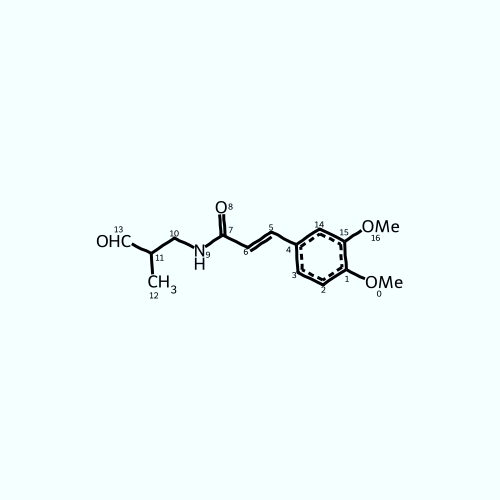 COc1ccc(/C=C/C(=O)NCC(C)C=O)cc1OC